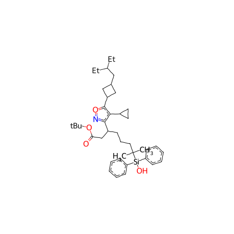 CCC(CC)CC1CC(c2onc(C(CCCC(C)(C)[Si](O)(c3ccccc3)c3ccccc3)CC(=O)OC(C)(C)C)c2C2CC2)C1